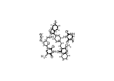 Cc1cn([C@H]2C[C@H](N=[N+]=[N-])[C@@H](CO)O2)c(=O)[nH]c1=O.Cc1nc2n(c(=O)c1CCN1CCC(c3noc4cc(F)ccc34)CC1)CCCC2.O=c1[nH]cc(F)c(=O)[nH]1